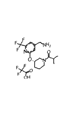 CC(C)C(=O)N1CCC[C@H](Oc2cc(CN)cc(C(F)(F)F)n2)C1.O=C(O)C(F)(F)F